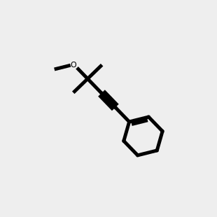 COC(C)(C)C#CC1=CCCCC1